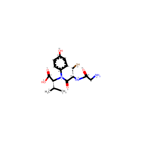 CC(C)[C@H](C(=O)O)N(C(=O)[C@H](CS)NC(=O)CN)c1ccc(O)cc1